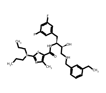 CCCN(CCC)c1nc(C)c(C(=O)N[C@@H](Cc2cc(F)cc(F)c2)[C@@H](O)CNCc2cccc(CC)c2)s1